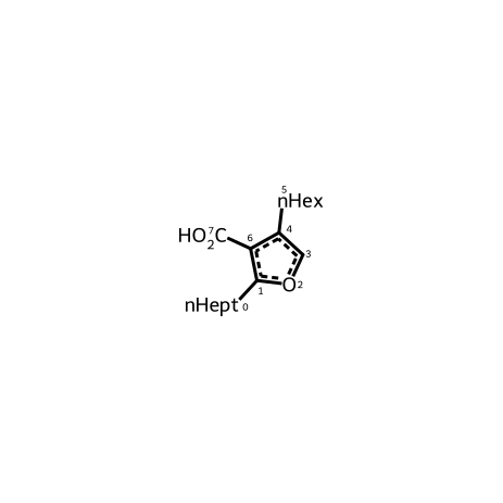 CCCCCCCc1occ(CCCCCC)c1C(=O)O